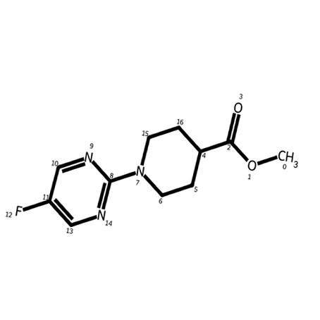 COC(=O)C1CCN(c2ncc(F)cn2)CC1